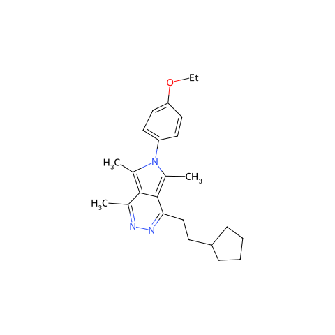 CCOc1ccc(-n2c(C)c3c(C)nnc(CCC4CCCC4)c3c2C)cc1